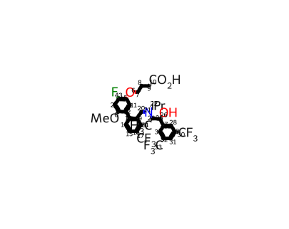 COc1cc(F)c(OCCCC(=O)O)cc1-c1ccc(C(F)(F)F)cc1CN(C(C)C)[C@@H](C)[C@H](O)c1cc(C(F)(F)F)cc(C(F)(F)F)c1